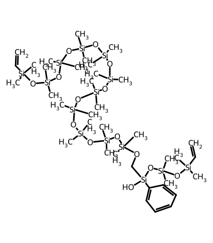 C=C[Si](C)(C)O[Si](C)(C)O[Si](C)(C)O[Si](C)(C)O[Si](C)(C)O[Si](C)(C)O[Si](C)(C)O[Si](C)(C)O[Si](C)(C)O[Si](C)(C)O[Si](C)(C)OC[Si](O)(O[Si](C)(C)O[Si](C)(C)C=C)c1ccccc1